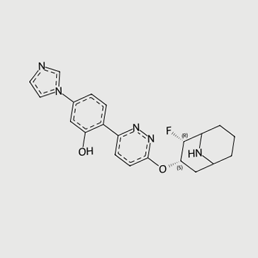 Oc1cc(-n2ccnc2)ccc1-c1ccc(O[C@H]2CC3CCCC(N3)[C@H]2F)nn1